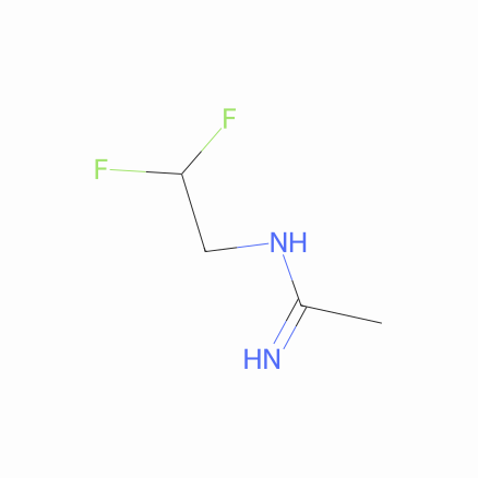 CC(=N)NCC(F)F